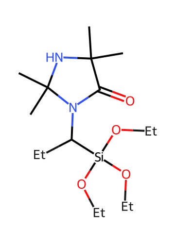 CCO[Si](OCC)(OCC)C(CC)N1C(=O)C(C)(C)NC1(C)C